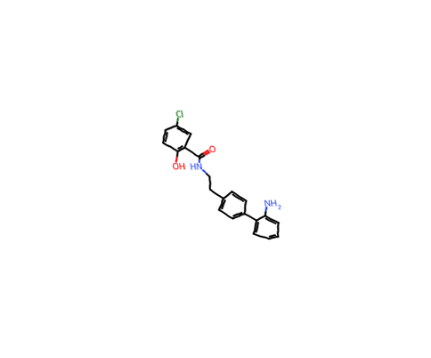 Nc1ccccc1-c1ccc(CCNC(=O)c2cc(Cl)ccc2O)cc1